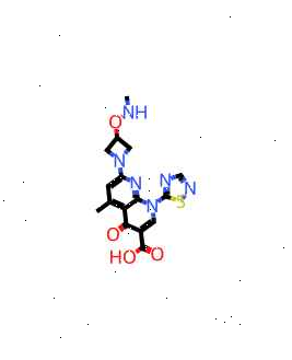 CNOC1CN(c2cc(C)c3c(=O)c(C(=O)O)cn(-c4ncns4)c3n2)C1